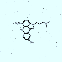 CN(C)CCCn1nc2c3c(c([N+](=O)[O-])ccc31)Nc1ccc(O)cc1-2